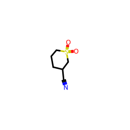 N#CC1CCCS(=O)(=O)C1